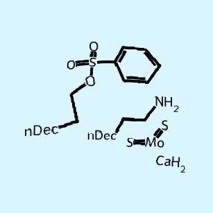 CCCCCCCCCCCCN.CCCCCCCCCCCCOS(=O)(=O)c1ccccc1.[CaH2].[S]=[Mo]=[S]